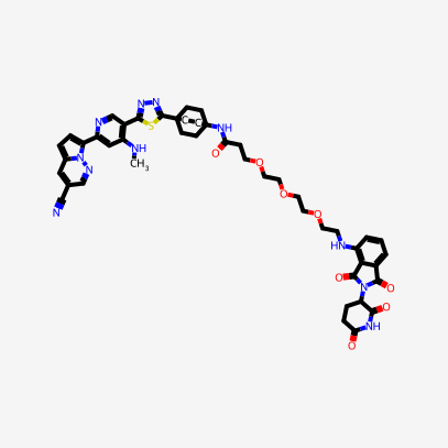 CNc1cc(-c2ccc3cc(C#N)cnn23)ncc1-c1nnc(C23CCC(NC(=O)CCOCCOCCOCCNc4cccc5c4C(=O)N(C4CCC(=O)NC4=O)C5=O)(CC2)CC3)s1